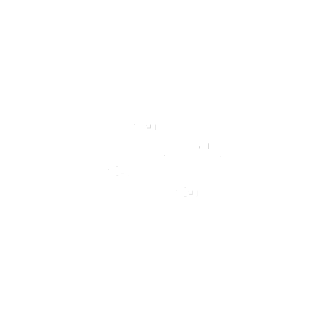 [CH2]C(CCCC)(CCCC)CCCC